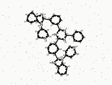 c1ccc(-c2nc(-c3cccc(-c4nc5ccccc5n4-c4ccncc4)c3)nc(-c3cccc(-c4nc5ccccc5n4-c4ccncc4)c3)n2)cc1